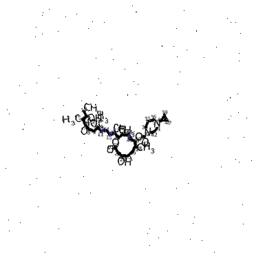 CCC(O)C(C)C1OC1CC(C)(O)/C=C/C=C(\C)C1OC(=O)CC(O)CCC(C)C(OC(=O)N2CCCN(C3CC3)CC2)/C=C/C1C